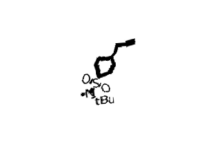 C#CCc1ccc(S(=O)(=O)N(C)C(C)(C)C)cc1